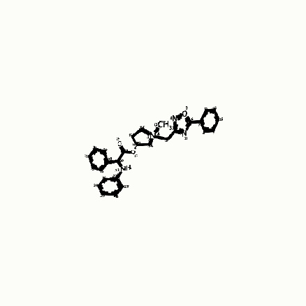 C[N+]1(Cc2noc(-c3ccccc3)n2)CC[C@@H](OC(=O)C(Nc2ccccc2)c2ccccc2)C1